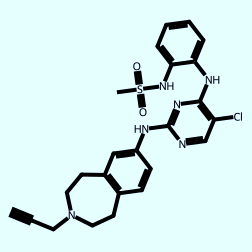 C#CCN1CCc2ccc(Nc3ncc(Cl)c(Nc4ccccc4NS(C)(=O)=O)n3)cc2CC1